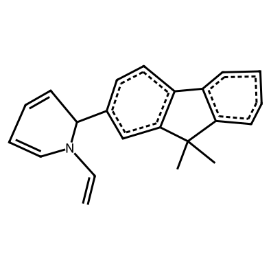 C=CN1C=CC=CC1c1ccc2c(c1)C(C)(C)c1ccccc1-2